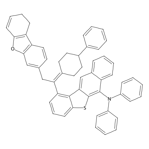 C1=Cc2oc3cc(CC(=C4CCC(c5ccccc5)CC4)c4cccc5sc6c(N(c7ccccc7)c7ccccc7)c7ccccc7cc6c45)ccc3c2CC1